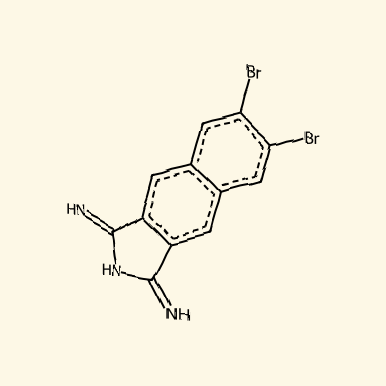 N=C1NC(=N)c2cc3cc(Br)c(Br)cc3cc21